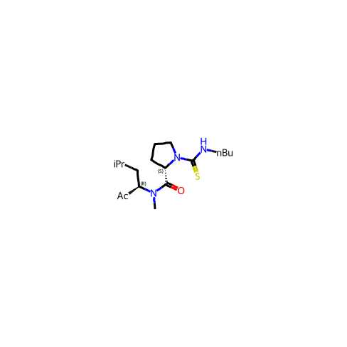 CCCCNC(=S)N1CCC[C@H]1C(=O)N(C)[C@H](CC(C)C)C(C)=O